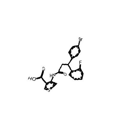 O=C(CC(c1ccc(Br)cc1)c1ccccc1F)Nc1cscc1C(=O)O